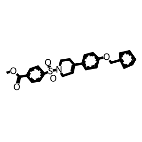 COC(=O)c1ccc(S(=O)(=O)N2CC=C(c3ccc(OCc4ccccc4)cc3)CC2)cc1